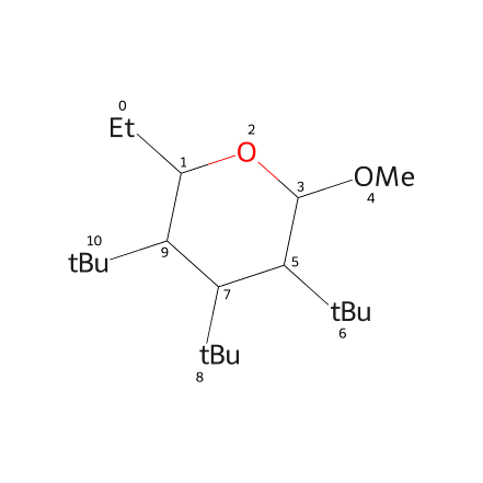 CCC1OC(OC)C(C(C)(C)C)C(C(C)(C)C)C1C(C)(C)C